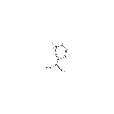 COC(=O)C1=CN(C)CC=C1